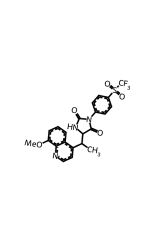 COc1cccc2c(C(C)C3NC(=O)N(c4ccc(S(=O)(=O)C(F)(F)F)cc4)C3=O)ccnc12